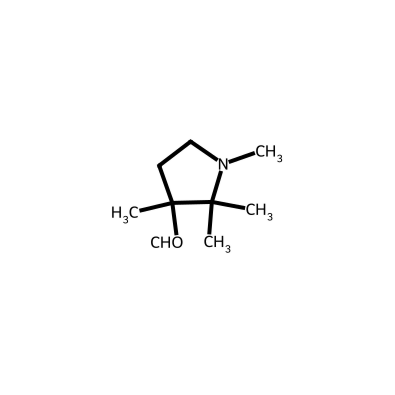 CN1CCC(C)(C=O)C1(C)C